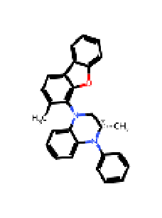 Cc1ccc2c(oc3ccccc32)c1N1C[C@H](C)N(c2ccccc2)c2ccccc21